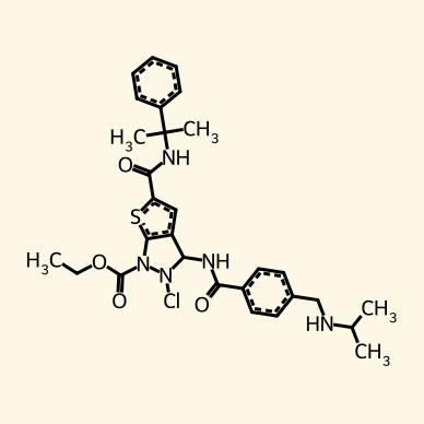 CCOC(=O)N1c2sc(C(=O)NC(C)(C)c3ccccc3)cc2C(NC(=O)c2ccc(CNC(C)C)cc2)N1Cl